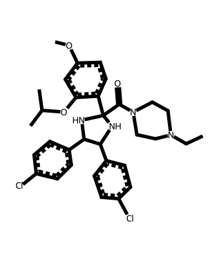 CCN1CCN(C(=O)C2(c3ccc(OC)cc3OC(C)C)NC(c3ccc(Cl)cc3)C(c3ccc(Cl)cc3)N2)CC1